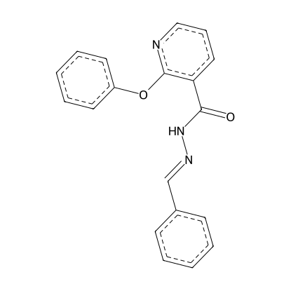 O=C(NN=Cc1ccccc1)c1cccnc1Oc1ccccc1